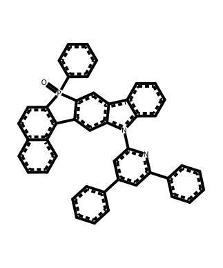 O=P1(c2ccccc2)c2cc3c4ccccc4n(-c4cc(-c5ccccc5)cc(-c5ccccc5)n4)c3cc2-c2c1ccc1ccccc21